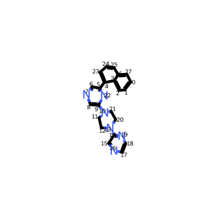 c1ccc2c(-c3cncc(N4CCN(c5cnccn5)CC4)n3)cccc2c1